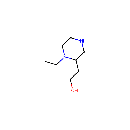 [CH2]CN1CCNCC1CCO